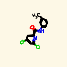 Cc1cccc(NC(=O)c2cc(Cl)cc(Cl)n2)c1